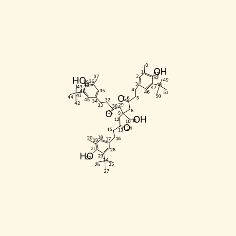 Cc1cc(CCC(=O)CC(CO)(CC(=O)CCc2cc(C)c(O)c(C(C)(C)C)c2)CC(=O)CCc2cc(C)c(O)c(C(C)(C)C)c2)cc(C(C)(C)C)c1O